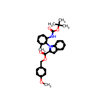 COc1ccc(COC(=O)c2cc3ccccc3n2-c2c(C)cccc2NC(=O)OC(C)(C)C)cc1